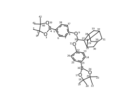 CC1(C)OB(c2ccc(OC(Oc3ccc(B4OC(C)(C)C(C)(C)O4)cc3)C3C4CC5CC(C4)CC3C5)cc2)OC1(C)C